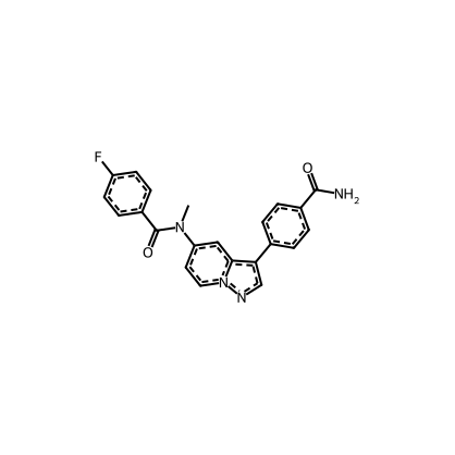 CN(C(=O)c1ccc(F)cc1)c1ccn2ncc(-c3ccc(C(N)=O)cc3)c2c1